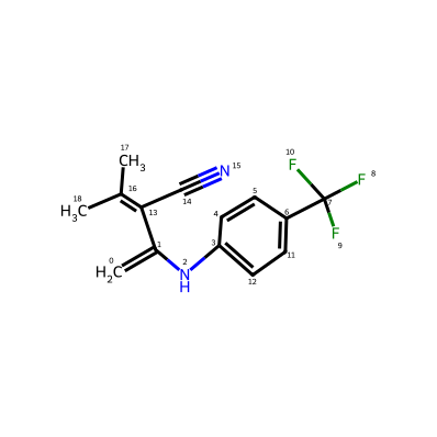 C=C(Nc1ccc(C(F)(F)F)cc1)C(C#N)=C(C)C